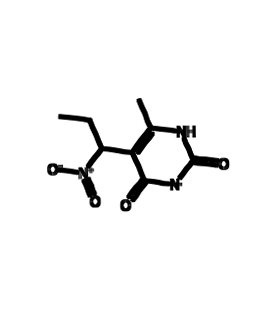 CCC(C1=C(C)NC(=O)[N]C1=O)[N+](=O)[O-]